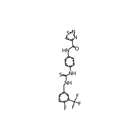 O=C(Nc1ccc(NC(=S)NCc2ccc(F)c(C(F)(F)F)c2)cc1)c1csnn1